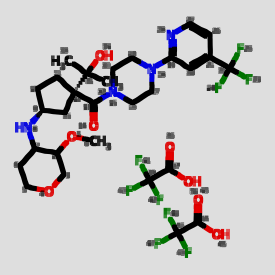 COC1COCCC1N[C@H]1CC[C@](C(=O)N2CCN(c3cc(C(F)(F)F)ccn3)CC2)(C(C)(C)O)C1.O=C(O)C(F)(F)F.O=C(O)C(F)(F)F